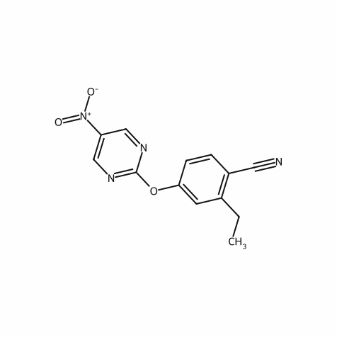 CCc1cc(Oc2ncc([N+](=O)[O-])cn2)ccc1C#N